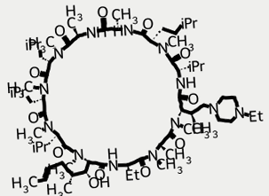 C/C=C/C[C@@H](C)[C@@H](O)[C@H]1C(=O)N[C@@H](CC)C(=O)N(C)[C@H](C)C(=O)N(C)[C@@H]([C@H](C)CN2CCN(CC)CC2)C(=O)N[C@@H](C(C)C)C(=O)N(C)[C@@H](CCC(C)C)C(=O)N[C@@H](C)C(=O)N[C@H](C)C(=O)N(C)[C@@H](CC(C)C)C(=O)N(C)[C@@H](CC(C)C)C(=O)N(C)[C@@H](C(C)C)C(=O)N1C